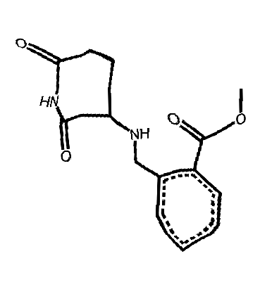 COC(=O)c1ccccc1CNC1CCC(=O)NC1=O